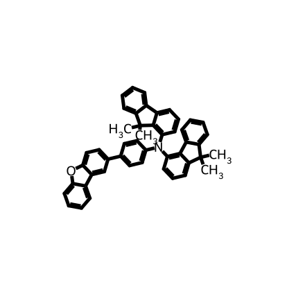 CC1(C)c2ccccc2-c2c(N(c3ccc(-c4ccc5oc6ccccc6c5c4)cc3)c3cccc4c3C(C)(C)c3ccccc3-4)cccc21